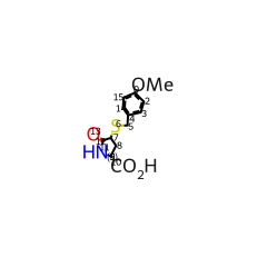 COc1ccc(CSC2C[C@@H](C(=O)O)NC2=O)cc1